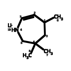 CC1C=CNCC(C)(C)C1.[Li]